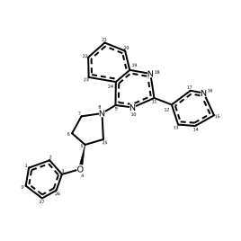 c1ccc(O[C@H]2CCN(c3nc(-c4cccnc4)nc4ccccc34)C2)cc1